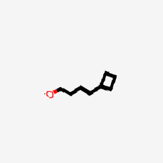 [O]CCCCC1CCC1